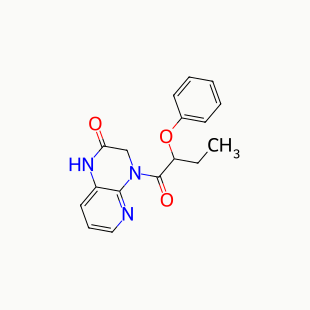 CCC(Oc1ccccc1)C(=O)N1CC(=O)Nc2cccnc21